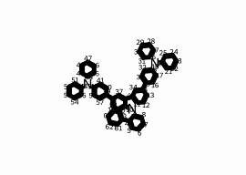 c1ccc(-c2ccccc2-n2c3ccc(-c4ccc(N(c5ccccc5)c5ccccc5)cc4)cc3c3cc(-c4ccc(N(c5ccccc5)c5ccccc5)cc4)ccc32)cc1